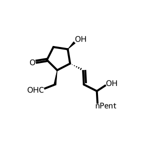 CCCCCC(O)C=C[C@H]1[C@H](O)CC(=O)[C@@H]1CC=O